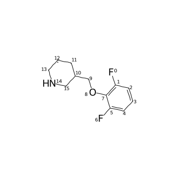 Fc1cccc(F)c1OCC1C[CH]CNC1